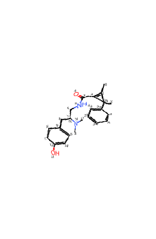 CC1=C(C(=O)NC[C@H](Cc2ccc(O)cc2)N(C)C)C1(C)c1ccccc1